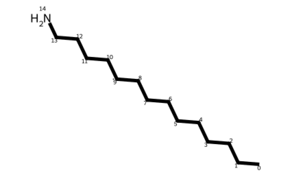 CCCCCCCCC[CH]CCCCN